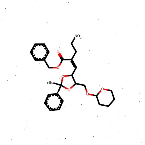 CCCCC1(c2ccccc2)OC(C=C(CC[N+](=O)[O-])C(=O)OCc2ccccc2)C(COC2CCCCO2)O1